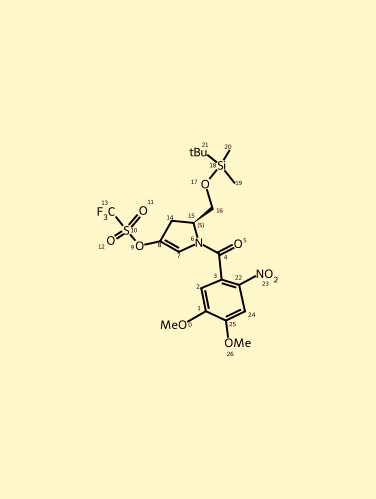 COc1cc(C(=O)N2C=C(OS(=O)(=O)C(F)(F)F)C[C@H]2CO[Si](C)(C)C(C)(C)C)c([N+](=O)[O-])cc1OC